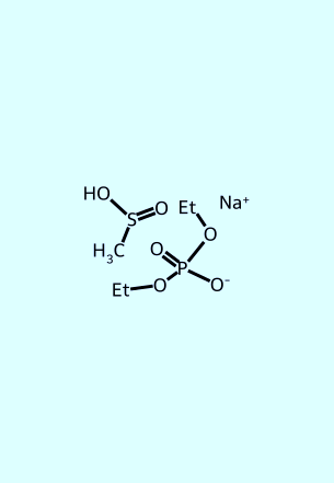 CCOP(=O)([O-])OCC.CS(=O)O.[Na+]